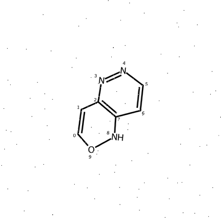 C1=Cc2nnccc2NO1